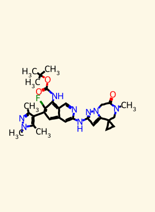 Cc1nn(C)c(C)c1-c1cc2cc(Nc3cc4n(n3)CC(=O)N(C)CC43CC3)ncc2c(NC(=O)OC(C)(C)C)c1F